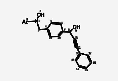 CC(=O)N(O)Cc1ccc(C(O)C#Cc2ccccc2)cc1